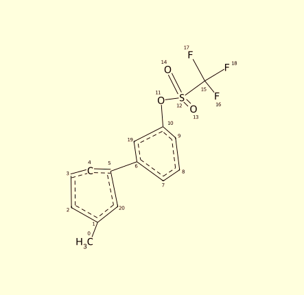 Cc1cccc(-c2cccc(OS(=O)(=O)C(F)(F)F)c2)c1